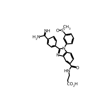 C[S+]([O-])c1cccc(-n2c(-c3ccc(C(=N)N)cc3)nc3cc(C(=O)NCCC(=O)O)ccc32)c1